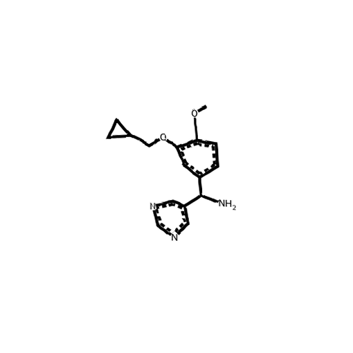 COc1ccc(C(N)c2cncnc2)cc1OCC1CC1